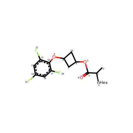 CCCCCCC(C)C(=O)OC1CC(Oc2c(F)cc(F)cc2F)C1